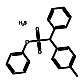 Cc1ccc(C(c2ccccc2)S(=O)(=O)Oc2ccccc2)cc1.S